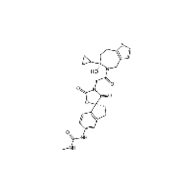 CNC(=O)Nc1ccc2c(c1)CC[C@@]21OC(=O)N(CC(=O)N2Cc3ccsc3CC[C@]2(O)C2CC2)C1=O